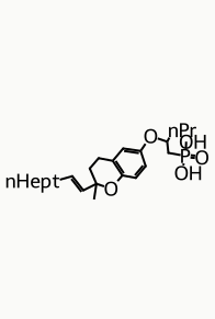 CCCCCCCC=CC1(C)CCc2cc(OC(CCC)CP(=O)(O)O)ccc2O1